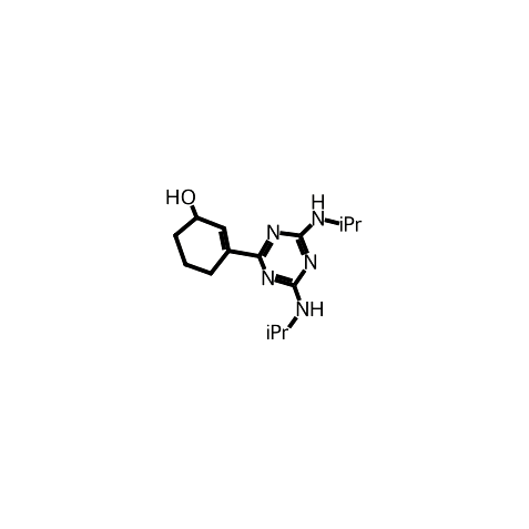 CC(C)Nc1nc(NC(C)C)nc(C2=CC(O)CCC2)n1